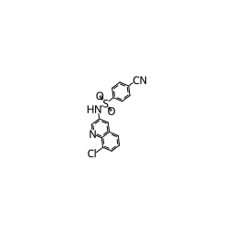 N#Cc1ccc(S(=O)(=O)Nc2cnc3c(Cl)cccc3c2)cc1